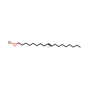 CCCCCCCC/C=C/CCCCCCCCOBr